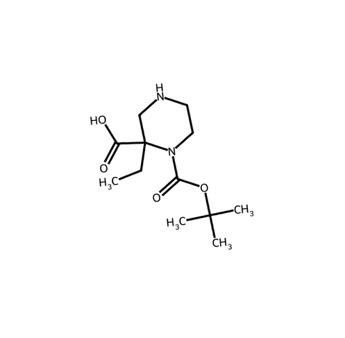 CCC1(C(=O)O)CNCCN1C(=O)OC(C)(C)C